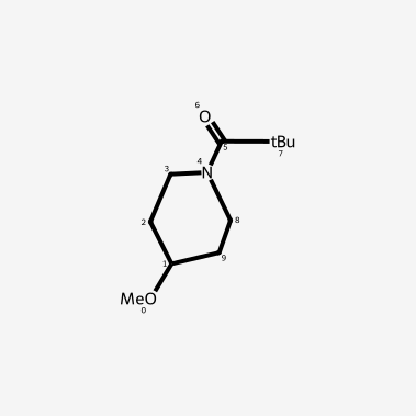 COC1CCN(C(=O)C(C)(C)C)CC1